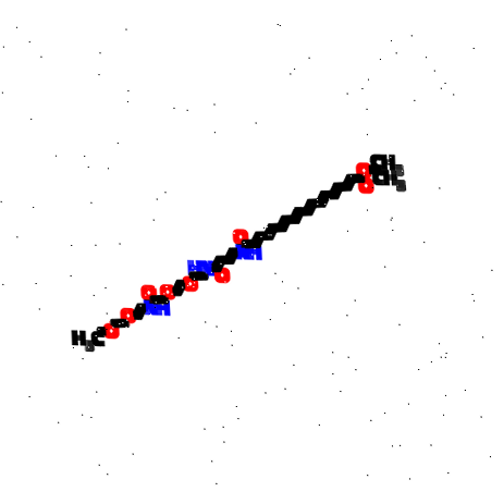 CCOCCOCCNC(=O)COCCOCCNC(=O)CCCNC(=O)CCCCCCCCCCCCCCCCC(=O)OC(C)C